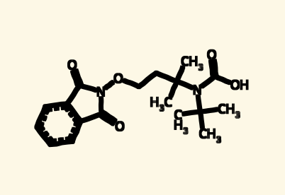 CC(C)(C)N(C(=O)O)C(C)(C)CCON1C(=O)c2ccccc2C1=O